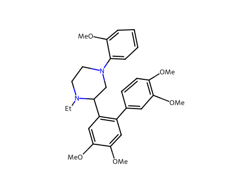 CCN1CCN(c2ccccc2OC)CC1c1cc(OC)c(OC)cc1-c1ccc(OC)c(OC)c1